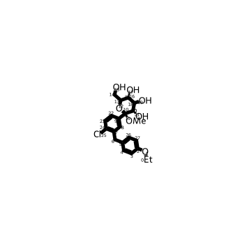 CCOc1ccc(Cc2cc([C@]3(OC)OC(CO)[C@@H](O)C(O)[C@H]3O)ccc2Cl)cc1